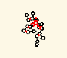 C1=CCC=C(c2ccc(N(c3cccc(-c4ccccc4)c3)c3ccc(C4=CCCC=C4n4c5ccccc5c5cc6ccccc6cc54)cc3-c3ccccc3)cc2-c2cccc3cc(-c4cccc5c4ccc4c5c5ccccc5n4-c4ccccc4-c4ccc(N(c5ccc(-c6ccccc6)cc5)c5ccc(-c6ccc7ccccc7c6)c(-c6ccccc6)c5)cc4)ccc23)C=C1